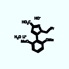 COc1cccc(OC)c1-c1cc(C(=O)O)nn1CC(C)C.O.[Li+].[OH-]